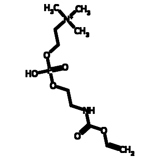 C=COC(=O)NCCOP(=O)(O)OCC[N+](C)(C)C